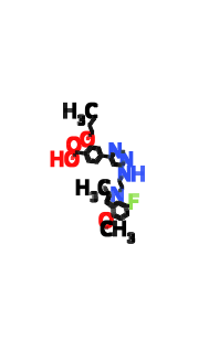 CCCCOc1cc(-c2cc(NCCn3c(C)cc4c(OC)ccc(F)c43)ncn2)ccc1C(=O)O